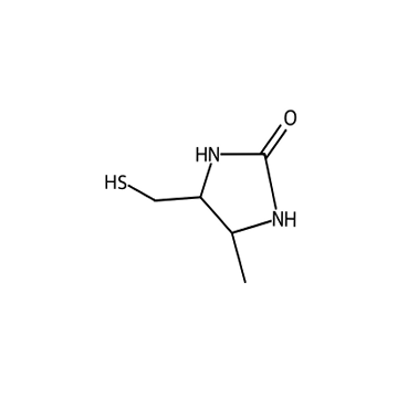 CC1NC(=O)NC1CS